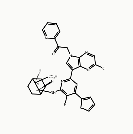 O=C(Cn1cc(-c2nc(N[C@@H]3C4CCC(CC4)[C@H]3C(=O)O)c(F)c(-c3cccs3)n2)c2nc(Cl)cnc21)c1ccccn1